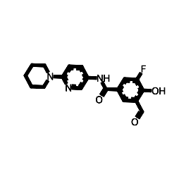 O=Cc1cc(C(=O)Nc2ccc(N3CCCCC3)nc2)cc(F)c1O